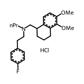 CCCN(CCc1ccc(F)cc1)CC1CCCc2c1ccc(OC)c2OC.Cl